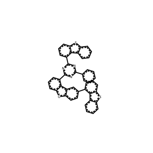 c1ccc(-c2nc(-c3cccc4oc5ccc(-c6cccc7sc8ccccc8c67)cc5c34)nc(-c3cccc4sc5ccccc5c34)n2)cc1